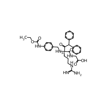 CCOC(=O)Nc1ccc(CN[C@@](CCCNC(=N)N)(C(=O)NCC(=O)O)C(=O)C(c2ccccc2)c2ccccc2)cc1